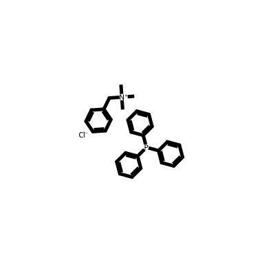 C[N+](C)(C)Cc1ccccc1.[Cl-].c1ccc(P(c2ccccc2)c2ccccc2)cc1